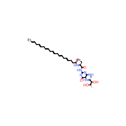 CCC=CCC=CCC=CCC=CCC=CCC=CCCC(=O)N[C@@H](CC(C)C)C(=O)NC1=NC(=O)C2N[C@@H]([C@@H](O)[C@H](C)O)CNC2=N1